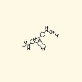 C=CC(=O)Nc1ccnc(C2=CC3=CN=CCC3=CN2Nc2ccc(NC3CN(CCF)C3)cc2)c1